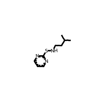 CC(C)CCNSc1ncccn1